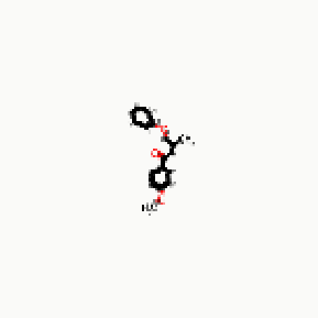 COc1ccc(C(=O)CC(C)COc2ccccc2)cc1